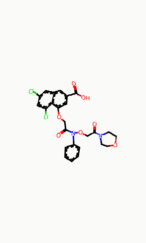 O=C(O)c1cc(OCC(=O)N(OCC(=O)N2CCOCC2)c2ccccc2)c2c(Cl)cc(Cl)cc2c1